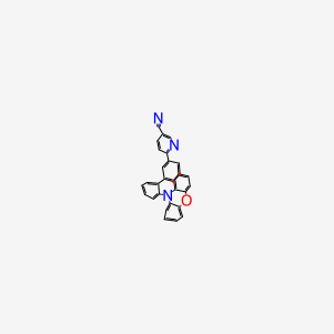 N#Cc1ccc(-c2cccc(-c3ccccc3N3c4ccccc4Oc4ccccc43)c2)nc1